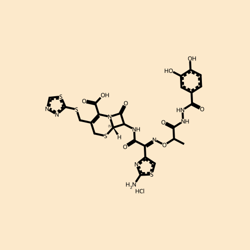 CC(ON=C(C(=O)NC1C(=O)N2C(C(=O)O)=C(CSc3nncs3)CS[C@@H]12)c1csc(N)n1)C(=O)NNC(=O)c1ccc(O)c(O)c1.Cl